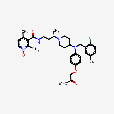 COC(=O)COc1ccc(N(Cc2cc(C#N)ccc2F)C2CCN([C@H](C)CCNC(=O)c3c(C)cc[n+]([O-])c3C)CC2)cc1